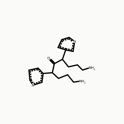 NCCCC(C(=O)C(CCCN)c1cccnc1)c1cccnc1